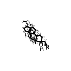 CO[C@@H]1CC[C@H]2[C@@H]3CC[C@H]4C[C@@](O)(CC#N)CC[C@]4(C)[C@H]3CC[C@]12C